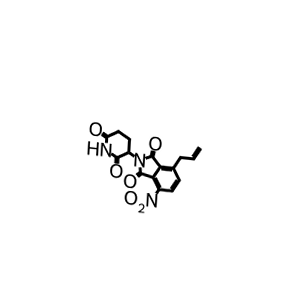 C=CCc1ccc([N+](=O)[O-])c2c1C(=O)N(C1CCC(=O)NC1=O)C2=O